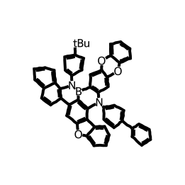 CC(C)(C)c1ccc(N2B3c4cc5c(cc4N(c4ccc(-c6ccccc6)cc4)c4c3c(cc3oc6ccccc6c43)-c3ccc4ccccc4c32)Oc2ccccc2O5)cc1